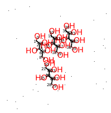 OC[C@@H](O)C(O)[C@H](O)CO.OC[C@@H](O)[C@@H](O)[C@@H](O)CO.OC[C@@H](O)[C@H](O)[C@@H](O)CO.OC[C@H](O)C(O)[C@@H](O)CO